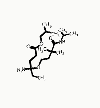 CCC(N)(CCC(=O)OCC(C)C)OCCC(C)(C)C(=O)NC(C)C